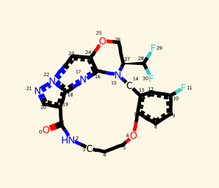 O=C1NCCCOc2ccc(F)cc2CN2c3nc4c1cnn4cc3OC[C@H]2C(F)F